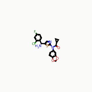 N[C@H](c1cnc(N(C(=O)C2CC2)c2ccc3c(c2)OCO3)s1)c1ccc(F)cc1Cl